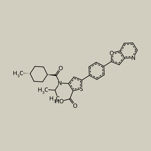 CC(C)N(c1cc(-c2ccc(-c3cc4ncccc4o3)cc2)sc1C(=O)O)C(=O)[C@H]1CC[C@H](C)CC1